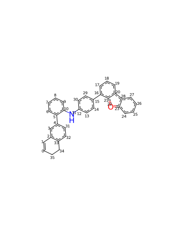 C1=Cc2cc(-c3ccccc3Nc3ccc(-c4cccc5c4oc4ccccc45)cc3)ccc2CC1